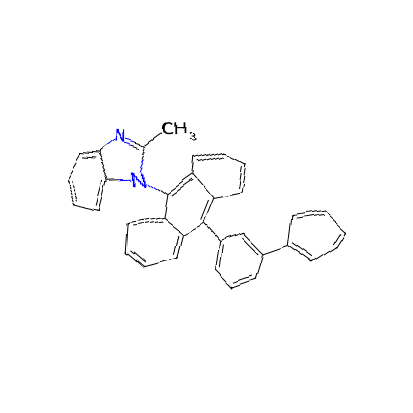 Cc1nc2ccccc2n1-c1c2ccccc2c(-c2cccc(-c3ccccc3)c2)c2ccccc12